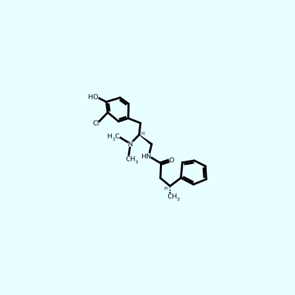 C[C@H](CC(=O)NC[C@H](Cc1ccc(O)c(Cl)c1)N(C)C)c1ccccc1